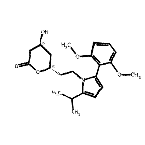 COc1cccc(OC)c1-c1ccc(C(C)C)n1CC[C@H]1C[C@H](O)CC(=O)O1